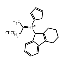 C[C](C)=[Hf+2]([C]1=CC=CC1)[CH]1C2=C(CCCC2)c2ccccc21.[Cl-].[Cl-]